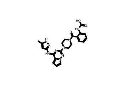 Cc1cc(Nc2nc(N3CCN(C(=O)c4ccccc4NC(=O)O)CC3)nn3cccc23)n[nH]1